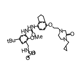 COc1c(CN[SH](=O)=O)cc(C(C)(C)C)cc1NC(=O)Nc1ccc(OCCN2CCN(CC3CC3)C(=O)C2)c2c1CCC2